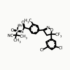 Cc1cc(C2=NOC(c3cc(Cl)cc(Cl)c3)(C(F)(F)F)C2)ccc1C(=O)N=S(=O)(C(C)C)C(C)(C)C#N